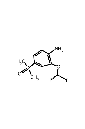 CP(C)(=O)c1ccc(N)c(OC(F)F)c1